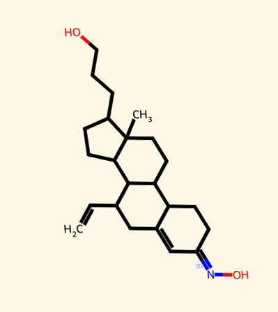 C=CC1CC2=C/C(=N/O)CCC2C2CCC3(C)C(CCCO)CCC3C12